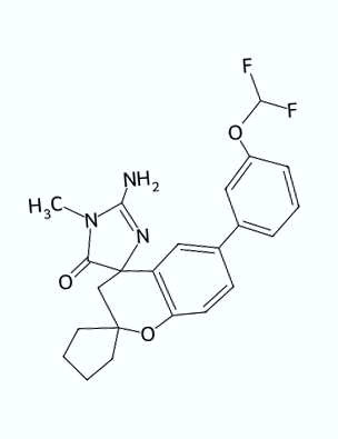 CN1C(=O)C2(CC3(CCCC3)Oc3ccc(-c4cccc(OC(F)F)c4)cc32)N=C1N